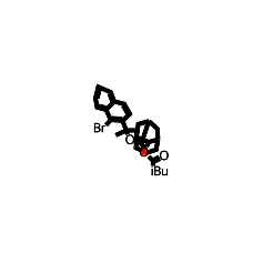 CCC(C)C(=O)OC1C2CC3CC1CC(C2)C3OC(C)(C)c1ccc2ccccc2c1Br